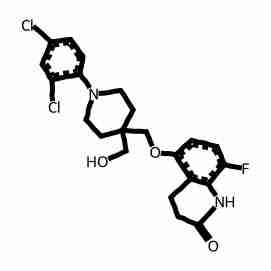 O=C1CCc2c(OCC3(CO)CCN(c4ccc(Cl)cc4Cl)CC3)ccc(F)c2N1